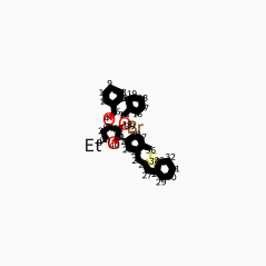 CC[C@@H]1C[C@H](OCc2ccccc2)[C@@H](OCc2ccccc2)[C@H](c2cc(Cc3cc4ccccc4s3)c(C)cc2Br)O1